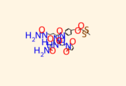 CC1SC(C(=O)OCc2ccc(NC(=O)[C@H](CCCNC(N)=O)NC(=O)[C@H](CC(N)=O)NC(=O)CCN3C(=O)C=CC3=O)cc2)S1